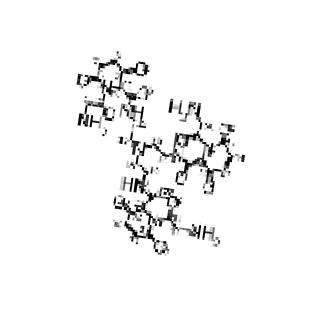 NCC(=O)N1C(=O)C=CC(=O)[C@H]1C(=O)NCCN(CCNC(=O)[C@@H]1C(=O)C=CC(=O)N1C(=O)CN)CCNC(=O)[C@@H]1C(=O)C=CC(=O)N1C(=O)CN